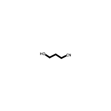 N#CCC[CH]O